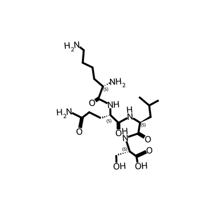 CC(C)C[C@H](NC(=O)[C@H](CCC(N)=O)NC(=O)[C@@H](N)CCCCN)C(=O)N[C@@H](CO)C(=O)O